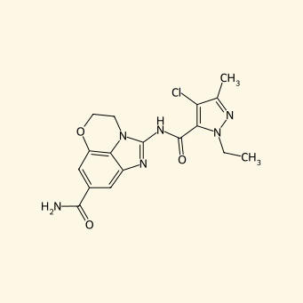 CCn1nc(C)c(Cl)c1C(=O)Nc1nc2cc(C(N)=O)cc3c2n1CCO3